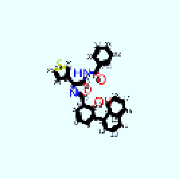 O=C(Nc1oc(-c2cccc(-c3cccc4ccccc34)c2O)nc1-c1ccsc1)c1ccccc1